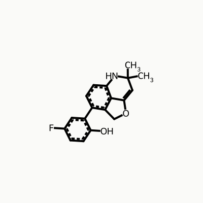 CC1(C)C=C2OCc3c(-c4cc(F)ccc4O)ccc(c32)N1